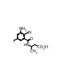 CCOC(=O)CC(C)NC(=O)c1cc(I)cc(N)c1C(C)C